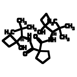 CC(C)(C)[C@@H](NC(=O)C1(C(=O)N[C@H](C(C)(C)C)C2(O)CCC2)CCCC1)C1(O)CCC1